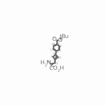 CC(C)(C)OC(=O)c1ccc(C23CC(C[C@H](N)C(=O)O)(C2)C3)cc1